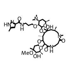 CO[C@]1(C)C[C@H](OC2C(C)C(=O)NCCC(=O)N(C)C[C@H](C)CC(C)(O)[C@H](OC3O[C@H](C)C[C@H](N(C)C)[C@H]3OCCCNC(=O)c3cc(C)[nH]n3)[C@H]2C)O[C@@H](C)[C@@H]1O